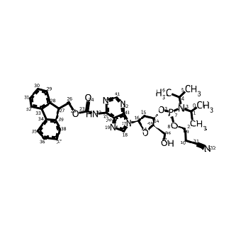 CC(C)N(C(C)C)P(OCCC#N)O[C@H]1C[C@H](n2cnc3c(NC(=O)OCC4c5ccccc5-c5ccccc54)ncnc32)O[C@@H]1CO